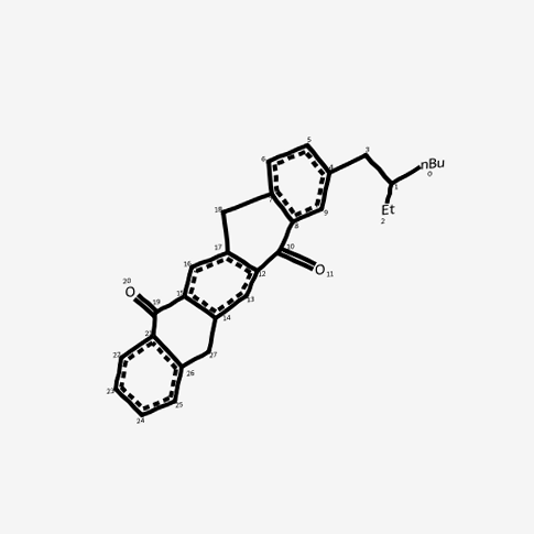 CCCCC(CC)Cc1ccc2c(c1)C(=O)c1cc3c(cc1C2)C(=O)c1ccccc1C3